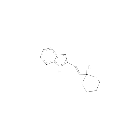 CC(C)(C)C1(/C=C/c2cc3ccccc3[nH]2)SCCCS1